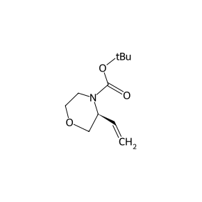 C=C[C@H]1COCCN1C(=O)OC(C)(C)C